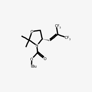 CC(C)(C)OC(=O)N1[C@@H](C=C(C(F)(F)F)C(F)(F)F)COC1(C)C